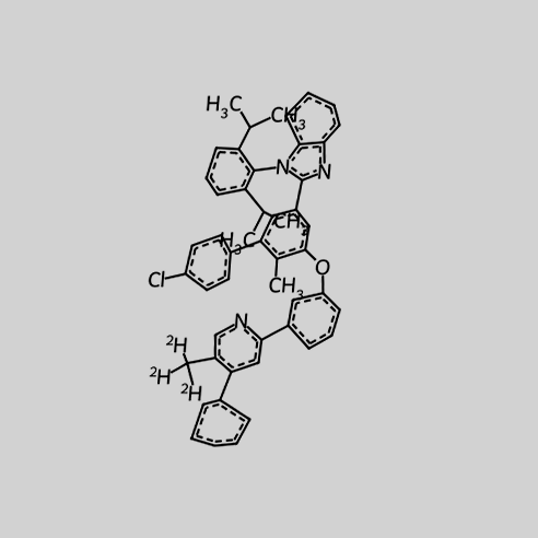 [2H]C([2H])([2H])c1cnc(-c2cccc(Oc3cc(-c4nc5ccccc5n4-c4c(C(C)C)cccc4C(C)C)cc(-c4ccc(Cl)cc4)c3C)c2)cc1-c1ccccc1